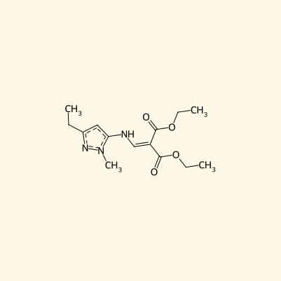 CCOC(=O)C(=CNc1cc(CC)nn1C)C(=O)OCC